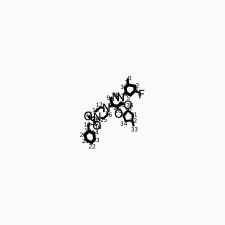 Cc1cc(F)cc(-n2ncc(N3CCN(S(=O)(=O)Cc4ccccc4)CC3)c(OC3CCC(C)C3)c2=O)c1